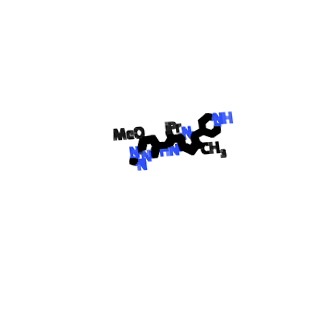 COc1cc(-c2[nH]c3cc(C)c(C4CCNCC4)nc3c2C(C)C)cn2ncnc12